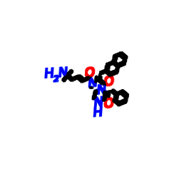 CN(C(=O)C=CCC(C)(C)N)[C@H](Cc1ccc2ccccc2c1)C(=O)N1CCNC(=O)[C@H]1Cc1ccccc1